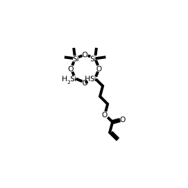 C=CC(=O)OCCC[SiH]1O[SiH2]O[Si](C)(C)O[Si](C)(C)O1